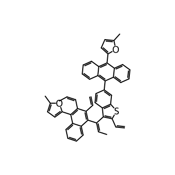 C=Cc1sc2cc(-c3c4ccccc4c(-c4ccc(C)o4)c4ccccc34)ccc2c1/C(=C\C)c1c(C=C)c(/C=C\C)c(-c2ccc(C)o2)c2ccccc12